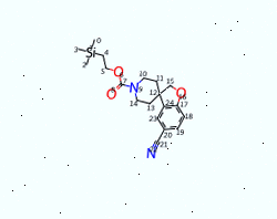 C[Si](C)(C)CCOC(=O)N1CCC2(CC1)COc1ccc(C#N)cc12